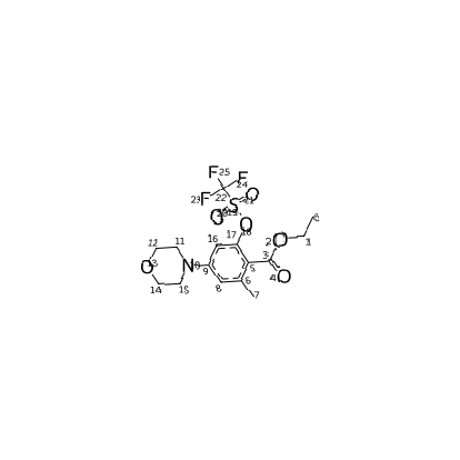 CCOC(=O)c1c(C)cc(N2CCOCC2)cc1OS(=O)(=O)C(F)(F)F